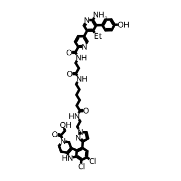 CCc1c(-c2ccc(C(=O)NCCC(=O)NCCCCCC(=O)NCCn3ccc(-c4cc(Cl)c(Cl)c5[nH]c6c(c45)CN(C(=O)CO)CC6)n3)nc2)cnc(N)c1-c1ccc(O)cc1